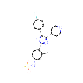 Cc1cc(NS(C)(=O)=O)ccc1-c1nc(-c2ccc(F)cc2)c(-c2ccncc2)[nH]1